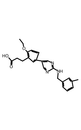 CCOc1ccc(-c2cnc(NCc3cccc(C)c3)nc2)cc1CCC(=O)O